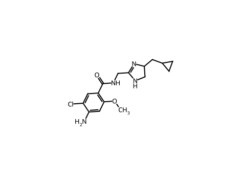 COc1cc(N)c(Cl)cc1C(=O)NCC1=NC(CC2CC2)CN1